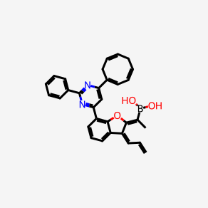 C=C/C=c1\c(=C(/C)B(O)O)oc2c(-c3cc(/C4=C/C=C\C/C=C\C4)nc(-c4ccccc4)n3)cccc12